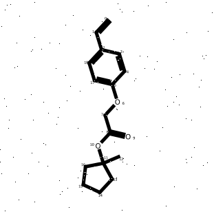 C=Cc1ccc(OCC(=O)OC2(C)CCCC2)cc1